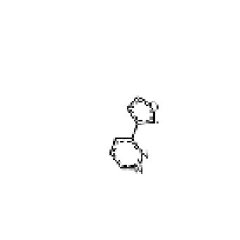 [c]1occc1-c1cccnn1